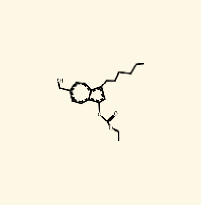 CCCCCCc1cc(OC(=O)OCC)c2ccc(CS)ccc1-2